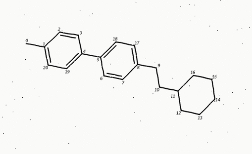 Cc1ccc(-c2ccc(CCC3CC[CH]CC3)cc2)cc1